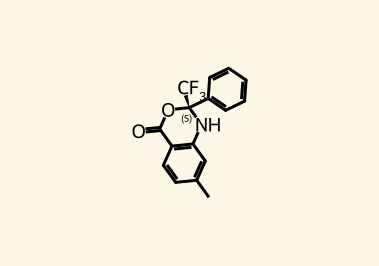 Cc1ccc2c(c1)N[C@](c1ccccc1)(C(F)(F)F)OC2=O